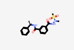 C[C@@H](NC(=O)c1cccc(C(=O)NN(C)S(C)(=O)=O)c1)c1ccccc1